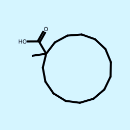 CC1(C(=O)O)CCCCCCCCCCCCCC1